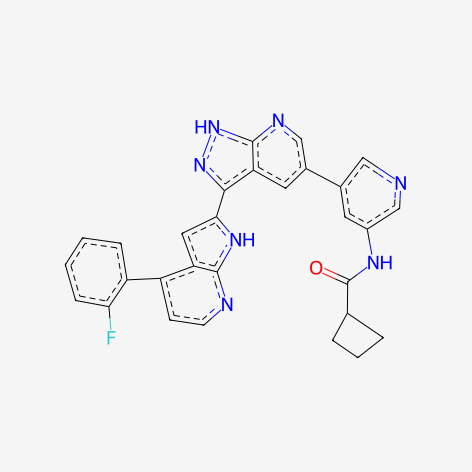 O=C(Nc1cncc(-c2cnc3[nH]nc(-c4cc5c(-c6ccccc6F)ccnc5[nH]4)c3c2)c1)C1CCC1